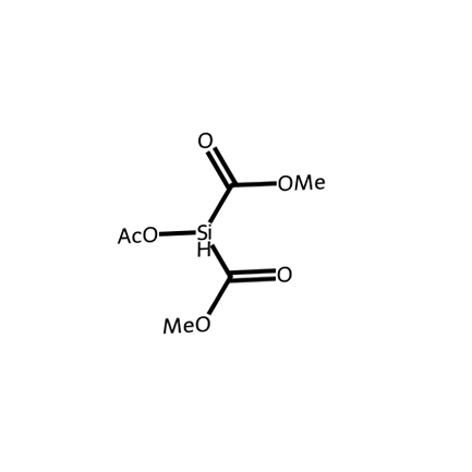 COC(=O)[SiH](OC(C)=O)C(=O)OC